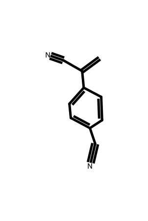 C=C(C#N)c1ccc(C#N)cc1